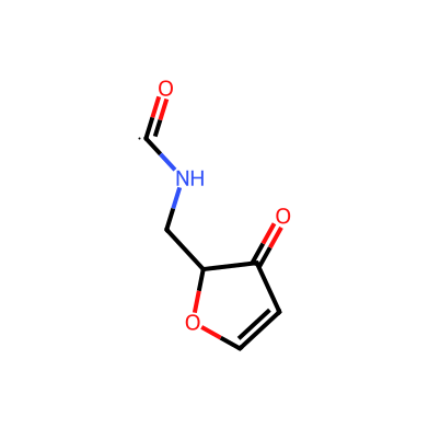 O=[C]NCC1OC=CC1=O